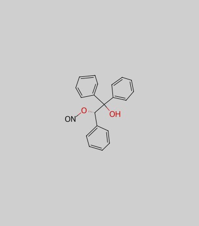 O=NO[C@@H](c1ccccc1)C(O)(c1ccccc1)c1ccccc1